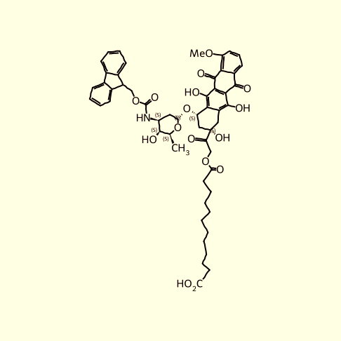 COc1cccc2c1C(=O)c1c(O)c3c(c(O)c1C2=O)C[C@@](O)(C(=O)COC(=O)CCCCCCCCCCC(=O)O)C[C@@H]3O[C@H]1C[C@H](NC(=O)OCC2c3ccccc3-c3ccccc32)[C@H](O)[C@H](C)O1